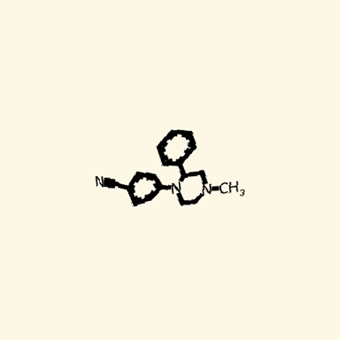 CN1CCN(c2ccc(C#N)cc2)C(c2ccccc2)C1